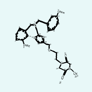 COc1cccc(CN(Cc2cccc(OC)c2)c2nc(COCCN3CC(=O)N(C)CC3=O)cs2)c1